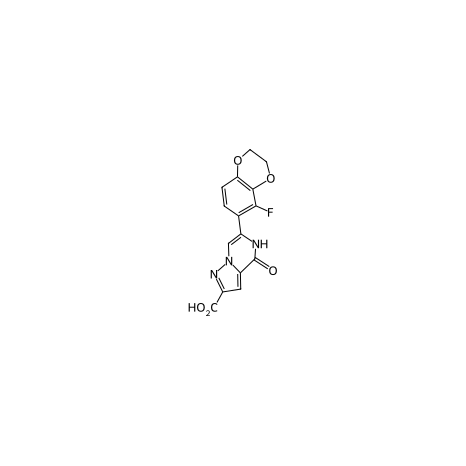 O=C(O)c1cc2c(=O)[nH]c(-c3ccc4c(c3F)OCCO4)cn2n1